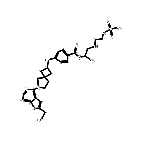 CC(CNCCNS(C)(=O)=O)NC(=O)c1ccc(NC2CC3(CCN(c4ncnc5sc(CC(F)(F)F)cc45)C3)C2)cc1